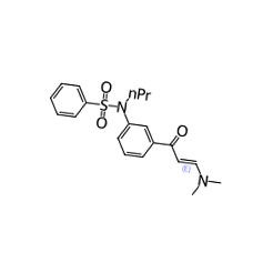 CCCN(c1cccc(C(=O)/C=C/N(C)C)c1)S(=O)(=O)c1ccccc1